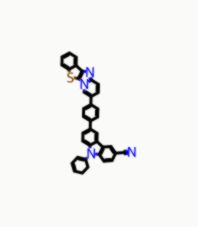 N#Cc1ccc2c(c1)c1cc(-c3ccc(-c4ccc5nc6c7ccccc7sc6n5c4)cc3)ccc1n2C1=CC=CCC1